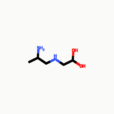 CC(N)CNCC(O)O